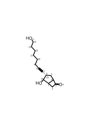 O=C1CC2C1C[C@@H](C#CCCCCCCO)C2O